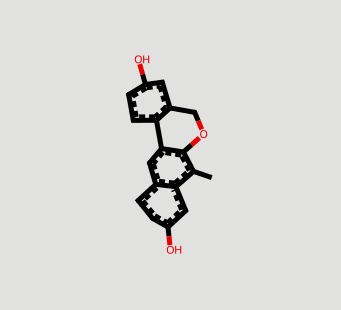 Cc1c2c(cc3ccc(O)cc13)-c1ccc(O)cc1CO2